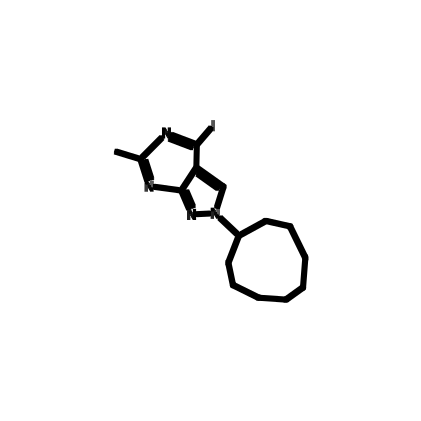 Cc1nc(I)c2cn(C3CCCCCCCC3)nc2n1